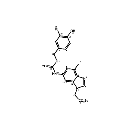 CCOC(=O)Cn1cnc2c(I)nc(NC(=O)OCc3ccc(O)c(O)c3)nc21